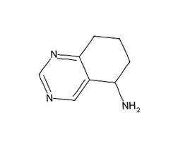 NC1CCCc2ncncc21